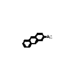 CC(=O)c1ccc2cc3ccccc3cc2c1